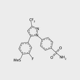 CSc1ccc(-c2cc(C(F)(F)F)nn2-c2ccc(S(N)(=O)=O)cc2)cc1F